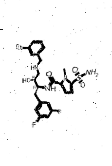 CCc1cccc(CNC[C@H](O)[C@H](Cc2cc(F)cc(F)c2)NC(=O)c2ccc(S(N)(=O)=O)n2C)c1